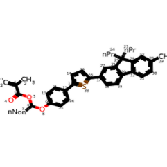 C=C(C)C(=O)OC(CCCCCCCCC)Oc1ccc(-c2ccc(-c3ccc4c(c3)C(CCC)(CCC)c3cc(C)ccc3-4)s2)cc1